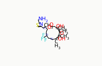 C/C(=C\c1csc(CN)n1)C1C/C=C(/C(F)(F)F)C/C=C/C(C)[C@H](O)[C@@H](C)C(=O)C(C)(C)[C@@H](O)CC(=O)O1